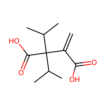 C=C(C(=O)O)C(C(=O)O)(C(C)C)C(C)C